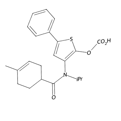 CC1=CCC(C(=O)N(c2cc(-c3ccccc3)sc2OC(=O)O)C(C)C)CC1